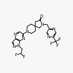 O=C1CC2(CCN(c3cnc4cnn(CC(F)F)c4n3)CC2)CN1Cc1cnc(C(F)(F)F)cn1